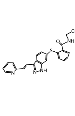 CCNC(=O)c1ccccc1Sc1ccc2c(/C=C/c3ccccn3)n[nH]c2c1